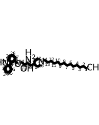 CCCCCCCCCCCCCCCN1CCC(CC(N)[C@H](O)COc2cccc3[nH]c4ccccc4c23)CC1